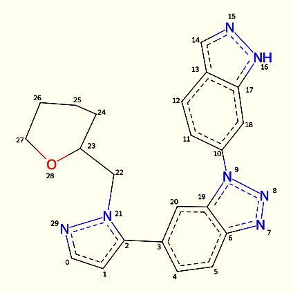 c1cc(-c2ccc3nnn(-c4ccc5cn[nH]c5c4)c3c2)n(CC2CCCCO2)n1